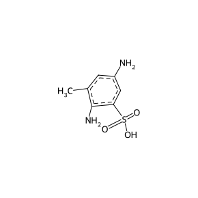 Cc1cc(N)cc(S(=O)(=O)O)c1N